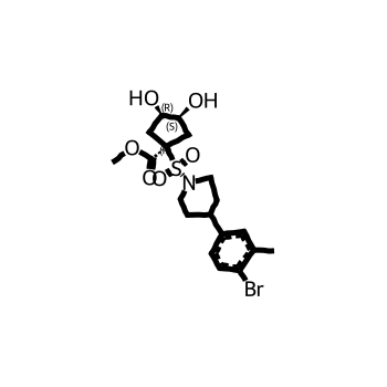 COC(=O)[C@]1(S(=O)(=O)N2CCC(c3ccc(Br)c(C)c3)CC2)C[C@@H](O)[C@@H](O)C1